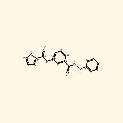 O=C(NNc1ccccc1)c1ccc[n+](CC(=O)c2cccs2)c1